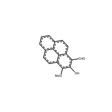 COc1c(O)c(C=O)c2ccc3cccc4ccc1c2c34